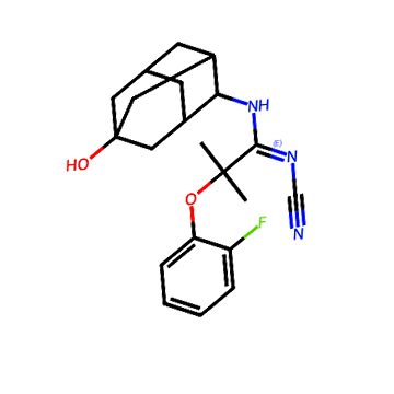 CC(C)(Oc1ccccc1F)/C(=N\C#N)NC1C2CC3CC1CC(O)(C3)C2